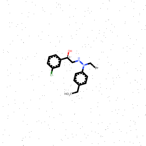 CC(C)CN(NC[C@H](O)c1cccc(Cl)c1)c1ccc(CC(=O)O)cc1